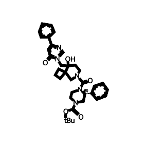 CC(C)(C)OC(=O)N1CCN(C(=O)N2CCC(O)(Cn3cnc(-c4ccccc4)cc3=O)C3(CCC3)C2)[C@H](c2ccccc2)C1